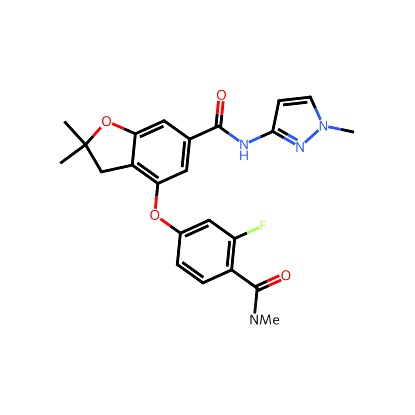 CNC(=O)c1ccc(Oc2cc(C(=O)Nc3ccn(C)n3)cc3c2CC(C)(C)O3)cc1F